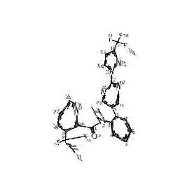 O=C(Nc1ccccc1-c1cnc(-n2ccc(C(F)(F)F)n2)nc1)c1ncccc1C(F)(F)F